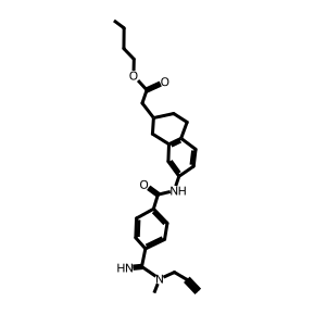 C#CCN(C)C(=N)c1ccc(C(=O)Nc2ccc3c(c2)CC(CC(=O)OCCCC)CC3)cc1